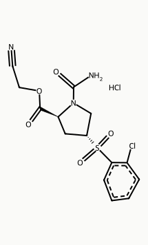 Cl.N#CCOC(=O)[C@@H]1C[C@@H](S(=O)(=O)c2ccccc2Cl)CN1C(N)=O